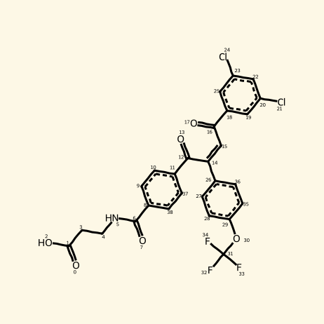 O=C(O)CCNC(=O)c1ccc(C(=O)/C(=C\C(=O)c2cc(Cl)cc(Cl)c2)c2ccc(OC(F)(F)F)cc2)cc1